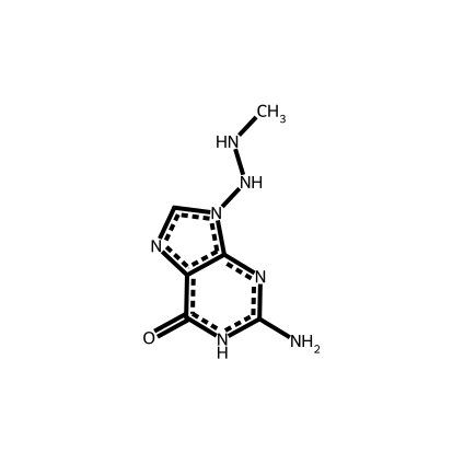 CNNn1cnc2c(=O)[nH]c(N)nc21